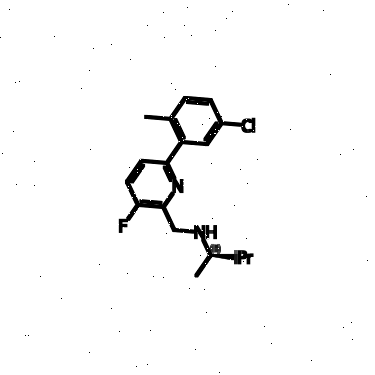 Cc1ccc(Cl)cc1-c1ccc(F)c(CN[C@H](C)C(C)C)n1